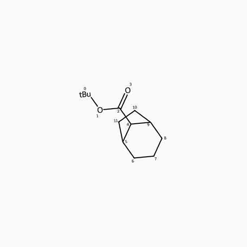 CC(C)(C)OC(=O)C1C2CCCC1CC2